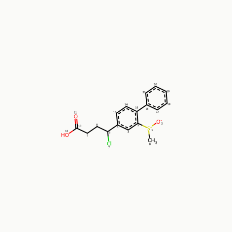 C[S+]([O-])c1cc(C(Cl)CCC(=O)O)ccc1-c1ccccc1